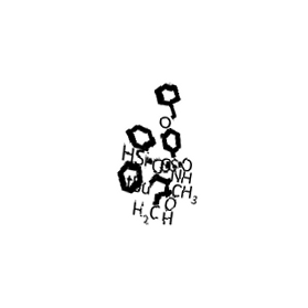 C=CC(C)(O)C(NS(=O)(=O)c1ccc(OCc2ccccc2)cc1)C(O[SiH](c1ccccc1)c1ccccc1)C(C)(C)C